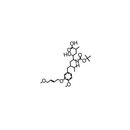 COCC=CCOc1cc(CC(CC(NC(=O)OC(C)(C)C)C(O)CC(C)C(=O)O)C(C)C)ccc1OC